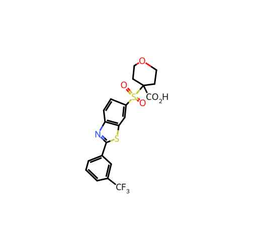 O=C(O)C1(S(=O)(=O)c2ccc3nc(-c4cccc(C(F)(F)F)c4)sc3c2)CCOCC1